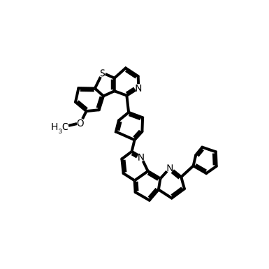 COc1ccc2sc3ccnc(-c4ccc(-c5ccc6ccc7ccc(-c8ccccc8)nc7c6n5)cc4)c3c2c1